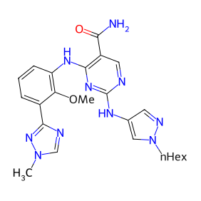 CCCCCCn1cc(Nc2ncc(C(N)=O)c(Nc3cccc(-c4ncn(C)n4)c3OC)n2)cn1